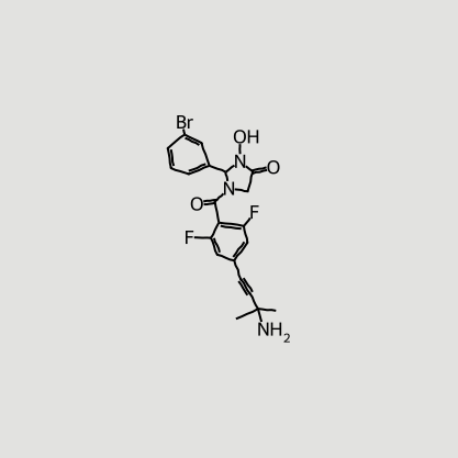 CC(C)(N)C#Cc1cc(F)c(C(=O)N2CC(=O)N(O)C2c2cccc(Br)c2)c(F)c1